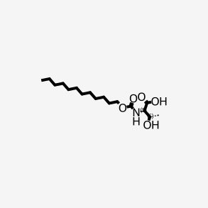 CCCCCCCCCCCCOC(=O)N[C@H](C(=O)O)[C@H](C)O